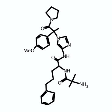 COc1ccc(C(C)(C(=O)N2CCCC2)n2cnc(NC(=O)C(CCCc3ccccc3)NC(=O)C(C)(C)N)c2)cc1